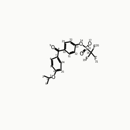 CC(C)Oc1ccc(C(=O)c2ccc(OS(=O)(=O)C(F)(F)F)cc2)cc1